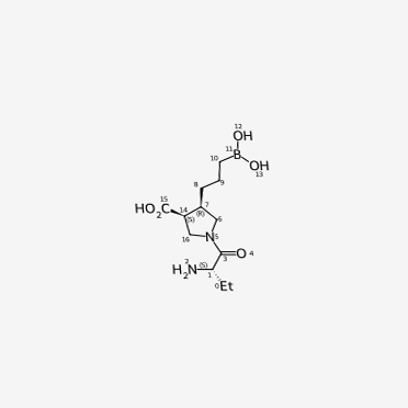 CC[C@H](N)C(=O)N1C[C@H](CCCB(O)O)[C@H](C(=O)O)C1